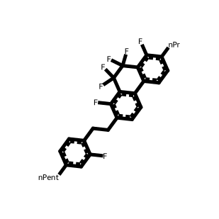 CCCCCc1ccc(CCc2ccc3c(c2F)C(F)(F)C(F)(F)c2c-3ccc(CCC)c2F)c(F)c1